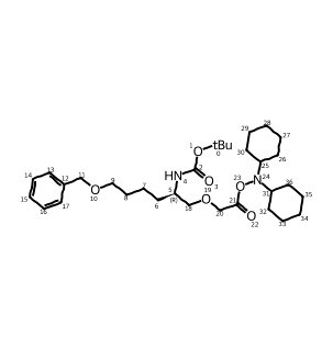 CC(C)(C)OC(=O)N[C@H](CCCCOCc1ccccc1)COCC(=O)ON(C1CCCCC1)C1CCCCC1